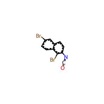 O=C=Nc1ccc2cc(Br)ccc2c1Br